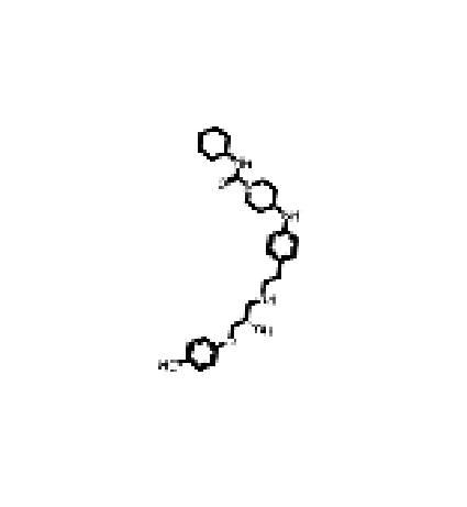 O=C(NC1CCCCC1)N1CCC(Nc2ccc(CCNC[C@H](O)COc3ccc(O)cc3)cc2)CC1